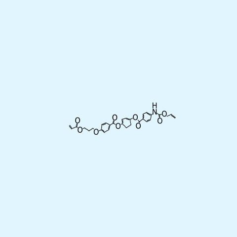 C=CCOC(=O)Nc1ccc(C(=O)OC2=CC=C(OC(=O)c3ccc(OCCCOC(=O)C=C)cc3)CC2)cc1